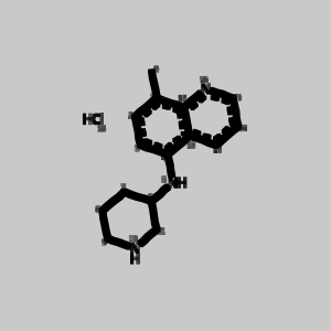 Cc1ccc(NC2CCCNC2)c2cccnc12.Cl